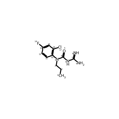 CCCN(C(=O)NC(=N)N)c1ccc(F)cc1Cl